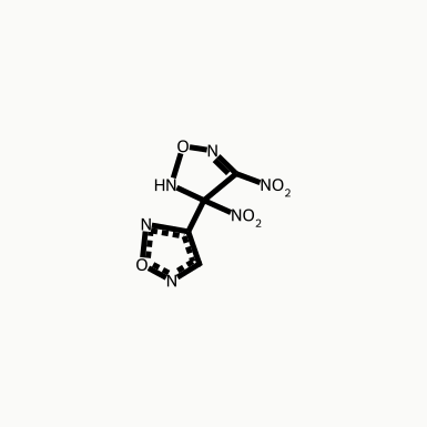 O=[N+]([O-])C1=NONC1(c1cnon1)[N+](=O)[O-]